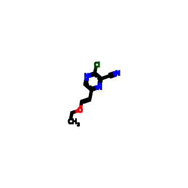 CCOC=Cc1cnc(Cl)c(C#N)n1